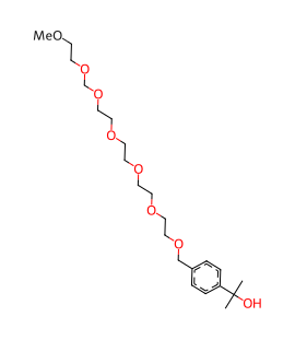 COCCOCOCCOCCOCCOCCOCc1ccc(C(C)(C)O)cc1